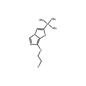 CCC[CH2][Sn]([CH2]CCC)([CH2]CCC)[c]1cn2cnc(SCCF)c2s1